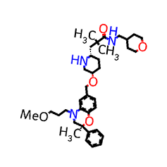 COCCCN1C[C@](C)(c2ccccc2)Oc2ccc(CO[C@@H]3CC[C@@H](CC(C)(C)C(=O)NCC4CCOCC4)NC3)cc21